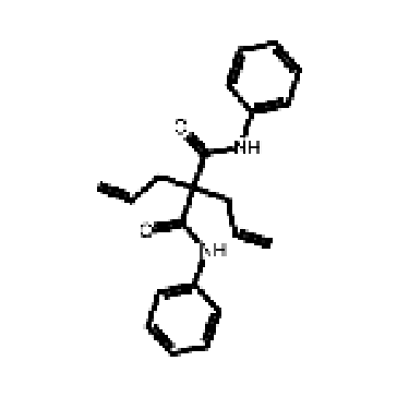 C=CCC(CC=C)(C(=O)Nc1ccccc1)C(=O)Nc1ccccc1